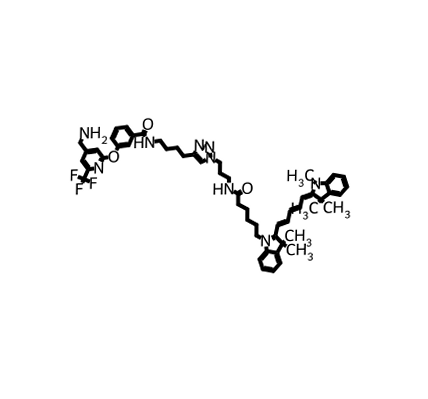 CN1/C(=C/C=C/C=C/C2=[N+](CCCCCC(=O)NCCCn3cc(CCCCNC(=O)c4cccc(Oc5cc(CN)cc(C(F)(F)F)n5)c4)nn3)c3ccccc3C2(C)C)C(C)(C)c2ccccc21